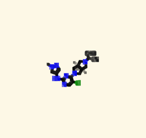 Cn1cc(Nc2ncc(Cl)c(N3C[C@@]4(C)CN(C(C#N)C=O)C[C@@]4(C)C3)n2)cn1